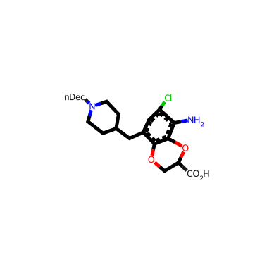 CCCCCCCCCCN1CCC(Cc2cc(Cl)c(N)c3c2OCC(C(=O)O)O3)CC1